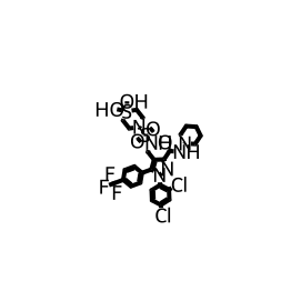 O=C(NN1CCCCC1)c1nn(-c2ccc(Cl)cc2Cl)c(-c2ccc(C(F)(F)F)cc2)c1CNS(=O)(=O)N1CCS(O)(O)CC1